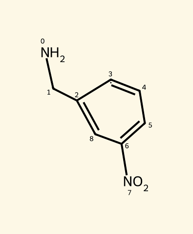 NCc1[c]ccc([N+](=O)[O-])c1